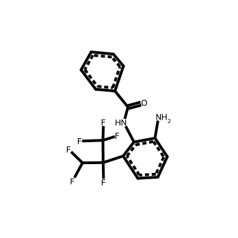 Nc1cccc(C(F)(C(F)F)C(F)(F)F)c1NC(=O)c1ccccc1